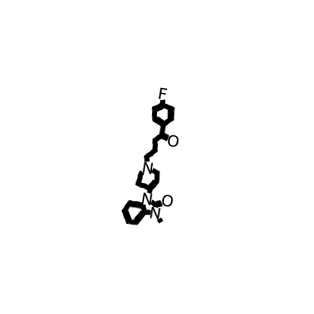 Cn1c(=O)n(C2=CCN(CCCC(=O)c3ccc(F)cc3)CC2)c2ccccc21